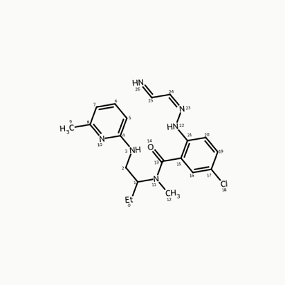 CCC(CNc1cccc(C)n1)N(C)C(=O)c1cc(Cl)ccc1N/N=C\C=N